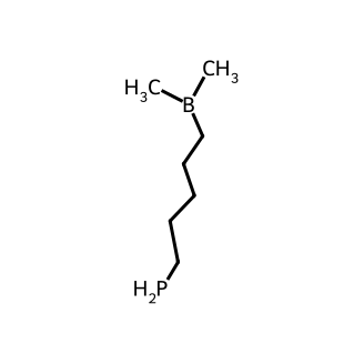 CB(C)CCCCCP